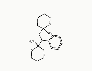 [SiH3]C1(C[C](c2ccccc2)C2([SiH3])CCCCO2)CCCCO1